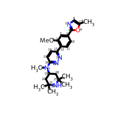 COc1cc(-c2ncc(C)o2)ccc1-c1ccc(N(C)C2CC(C)(C)NC(C)(C)C2)nn1